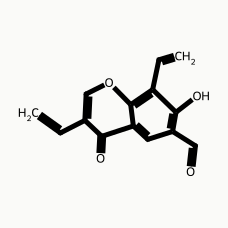 C=Cc1coc2c(C=C)c(O)c(C=O)cc2c1=O